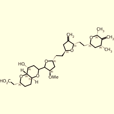 C=C1C[C@H](CC[C@@H]2C[C@@H](OC)C(C3C[C@@H](O)[C@H]4O[C@@H](CC(=O)O)CC[C@@H]4O3)O2)O[C@H]1CC[C@H]1C[C@@H](C)C(=C)[C@@H](C)O1